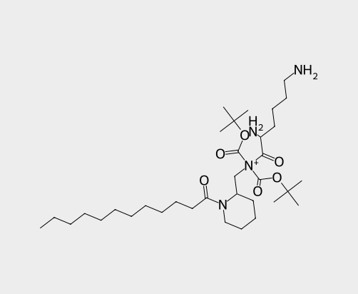 CCCCCCCCCCCC(=O)N1CCCCC1C[N+](C(=O)OC(C)(C)C)(C(=O)OC(C)(C)C)C(=O)C(N)CCCCN